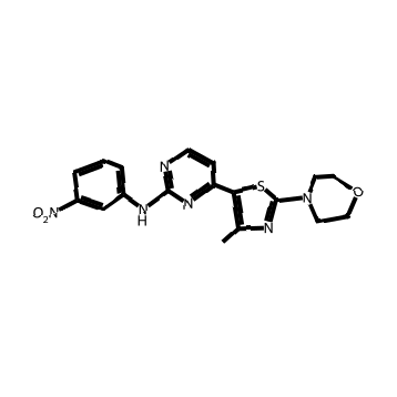 Cc1nc(N2CCOCC2)sc1-c1ccnc(Nc2cccc([N+](=O)[O-])c2)n1